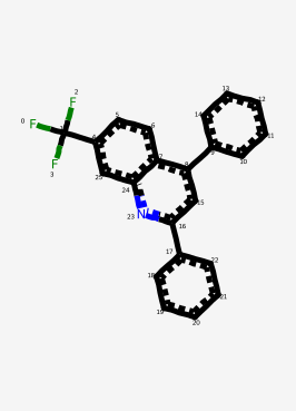 FC(F)(F)c1ccc2c(-c3ccccc3)cc(-c3ccccc3)nc2c1